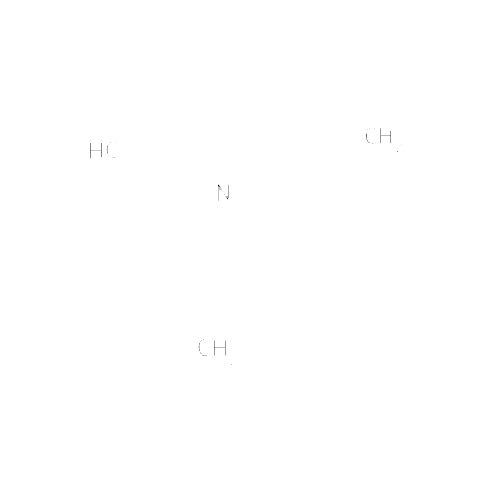 C#CN(CC=C)CC=C